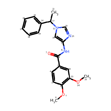 COc1ccc(C(=O)Nc2cn(C(C)c3ccccc3)cn2)cc1OC